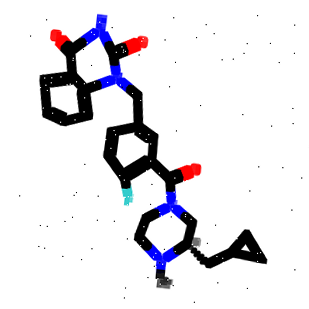 CC(C)N1CCN(C(=O)c2cc(Cn3c(=O)[nH]c(=O)c4ccccc43)ccc2F)C[C@@H]1CC1CC1